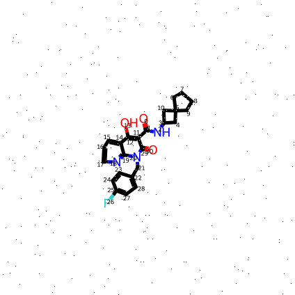 O=C(NC1CC2(CCCC2)C1)c1c(O)c2cccnc2n(Cc2ccc(F)cc2)c1=O